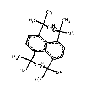 CC(C)(C)c1ccc(C(C)(C)C)c2c(C(C)(C)C)ccc(C(C)(C)C)c12